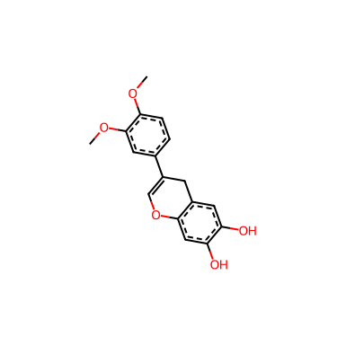 COc1ccc(C2=COc3cc(O)c(O)cc3C2)cc1OC